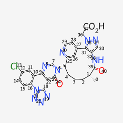 C[C@@H]1CCC[C@H](n2cnc(-c3cc(Cl)ccc3-n3cnnn3)cc2=O)c2cc(ccn2)-c2c(cnn2CC(=O)O)NC1=O